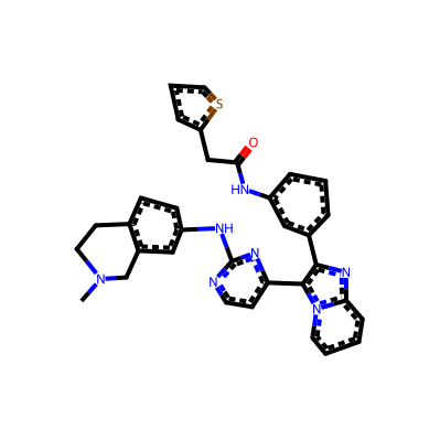 CN1CCc2ccc(Nc3nccc(-c4c(-c5cccc(NC(=O)Cc6cccs6)c5)nc5ccccn45)n3)cc2C1